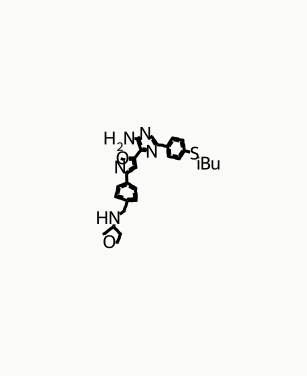 CCC(C)Sc1ccc(-c2cnc(N)c(-c3cc(-c4ccc(CNC5CCOC5)cc4)no3)n2)cc1